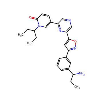 CCC(N)c1cccc(-c2cc(-c3cncc(-c4ccc(=O)n(C(CC)CC)c4)n3)on2)c1